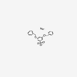 O=S(=O)([O-])c1cc(OCc2ccccc2)cc(OCc2ccccc2)c1.[Na+]